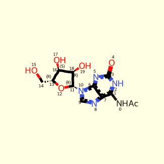 CC(=O)Nc1[nH]c(=O)nc2c1ncn2[C@@H]1O[C@H](CO)[C@@H](O)[C@H]1O